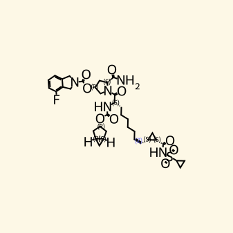 NC(=O)[C@@H]1C[C@@H](OC(=O)N2Cc3cccc(F)c3C2)CN1C(=O)[C@H](CCCCC/C=C\[C@@H]1C[C@@H]1C(=O)NS(=O)(=O)C1CC1)NC(=O)O[C@@H]1C[C@@H]2C[C@@H]2C1